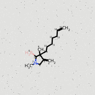 BC1N(C)CC(=C)C1(C)CCCCCC=C